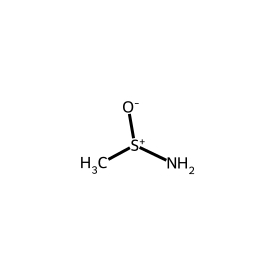 C[S+](N)[O-]